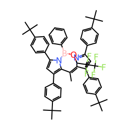 C/C(=C1/N=C(c2ccc(C(C)(C)C)cc2)C=C1c1ccc(C(C)(C)C)cc1)c1c(-c2ccc(C(C)(C)C)cc2)cc(-c2ccc(C(C)(C)C)cc2)n1B(OCC(F)(F)C(F)(F)F)c1ccccc1